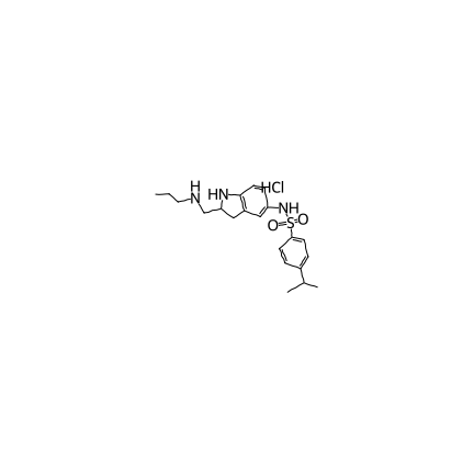 CCCNCC1Cc2cc(NS(=O)(=O)c3ccc(C(C)C)cc3)ccc2N1.Cl